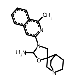 Cc1nc(N2CC3(CN4CCC3CC4)OC2N)cc2ccccc12